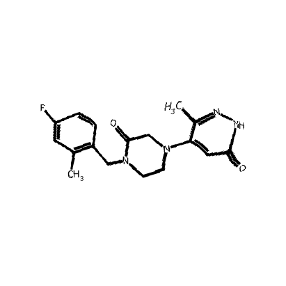 Cc1cc(F)ccc1CN1CCN(c2cc(=O)[nH]nc2C)CC1=O